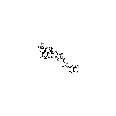 Cc1ccc(NCCCN2CC3CN(C(=O)c4cccc5c4CNCC5)CC3C2)cc1Cl